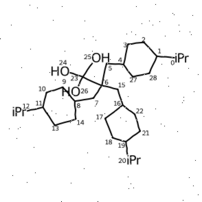 CC(C)C1CCC(CC(CC2CCC(C(C)C)CC2)(CC2CCC(C(C)C)CC2)C(O)(O)O)CC1